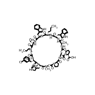 CCCC[C@@H]1NC(=O)[C@H](Cc2c[nH]c3ccccc23)NC(=O)[C@H](C)NC(=O)C[C@@H](C(=O)N2CCC[C@H]2C(=O)O)NC(=O)C2CCCN2C(=O)CN(C)C(=O)[C@H](CC2CNC=N2)N(C)C(=O)[C@H](Cc2cccc(Cl)c2)N(C)C(=O)CN(CCC)C(=O)[C@H](CO)NC(=O)[C@H](Cc2c[nH]c3ccccc23)NC1=O